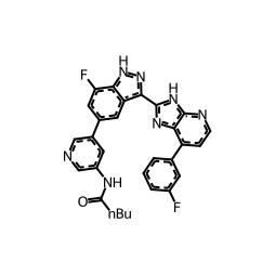 CCCCC(=O)Nc1cncc(-c2cc(F)c3[nH]nc(-c4nc5c(-c6cccc(F)c6)ccnc5[nH]4)c3c2)c1